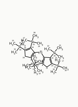 C[Si](C)(C)C1=[C]([Ti][C]2=C([Si](C)(C)C)CC([Si](C)(C)C)=C2[Si](C)(C)C)C([Si](C)(C)C)=C([Si](C)(C)C)C1